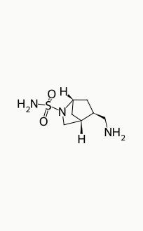 NC[C@@H]1C[C@@H]2C[C@H]1CN2S(N)(=O)=O